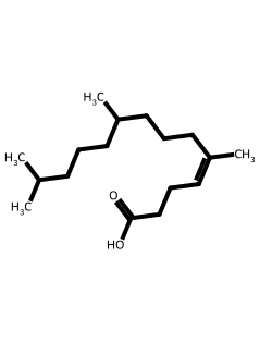 CC(=CCCC(=O)O)CCCC(C)CCCC(C)C